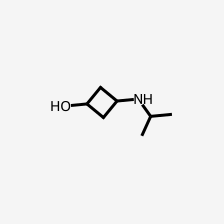 CC(C)NC1CC(O)C1